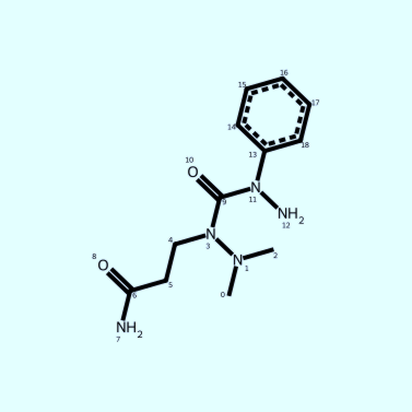 CN(C)N(CCC(N)=O)C(=O)N(N)c1ccccc1